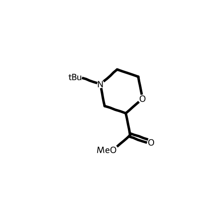 COC(=O)C1CN(C(C)(C)C)CCO1